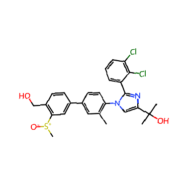 Cc1cc(-c2ccc(CO)c([S+](C)[O-])c2)ccc1-n1cc(C(C)(C)O)nc1-c1cccc(Cl)c1Cl